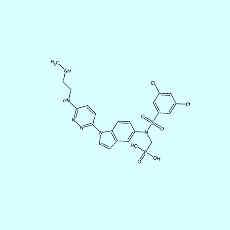 CNCCNc1ccc(-n2ccc3cc(N(CP(=O)(O)O)S(=O)(=O)c4cc(Cl)cc(Cl)c4)ccc32)nn1